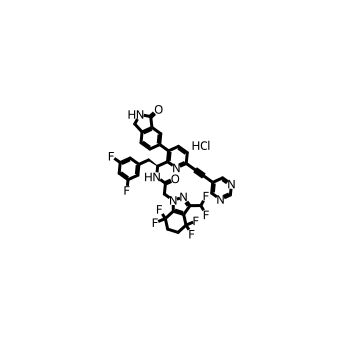 Cl.O=C(Cn1nc(C(F)F)c2c1C(F)(F)CCC2(F)F)N[C@@H](Cc1cc(F)cc(F)c1)c1nc(C#Cc2cncnc2)ccc1-c1ccc2c(c1)C(=O)NC2